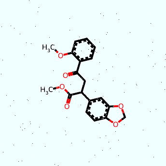 COC(=O)C(CC(=O)c1ccccc1OC)c1ccc2c(c1)OCO2